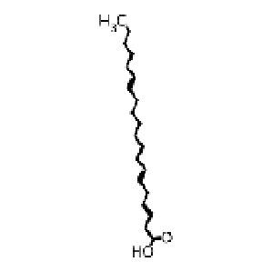 CCCCCC=CCCCCCCC=CCC=CCC(=O)O